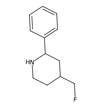 FCC1CCNC(c2ccccc2)C1